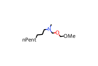 CCCCCCCCN(C)COCOC